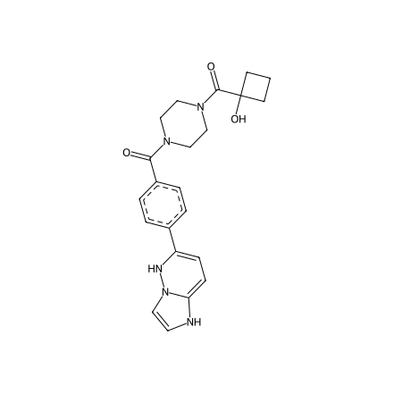 O=C(c1ccc(C2=CC=C3NC=CN3N2)cc1)N1CCN(C(=O)C2(O)CCC2)CC1